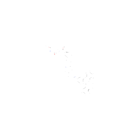 O=C1CCC(N2Cc3c(csc3C3CCN(CC4CCN(c5ccc(C6c7ccccc7CCC6c6ccccc6)cc5)CC4)CC3)C2=O)C(=O)N1